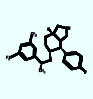 C[C@@H](O[C@H]1CC[C@H]2CNCC2[C@@H]1c1ccc(F)cc1)c1cc(C(F)(F)F)cc(C(F)(F)F)c1